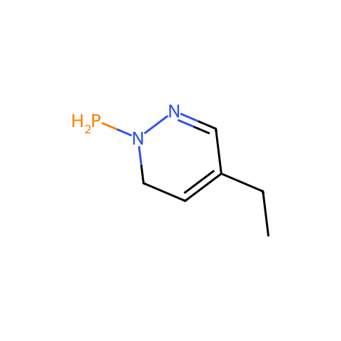 CCC1=CCN(P)N=C1